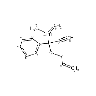 C#CC(OCC=C)(c1ccccc1)[PH](=C)C